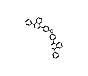 C=C(c1ccccc1)c1ccccc1C(=C)c1ccc(Oc2ccc(C(=C)c3ccccc3C(=C)c3ccccc3)cc2)cc1